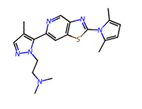 Cc1cnn(CCN(C)C)c1-c1cc2sc(-n3c(C)ccc3C)nc2cn1